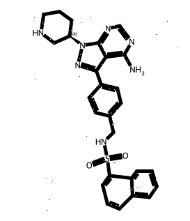 Nc1ncnc2c1c(-c1ccc(CNS(=O)(=O)c3cccc4ccccc34)cc1)nn2[C@@H]1CCCNC1